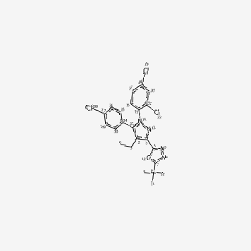 CCc1c(-c2nnc(C(C)(C)C)o2)nn(-c2ccc(Cl)cc2Cl)c1-c1ccc(Cl)cc1